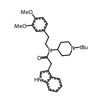 COc1ccc(CCN(C(=O)Cc2c[nH]c3ccccc23)C2CCN(C(C)(C)C)CC2)cc1OC